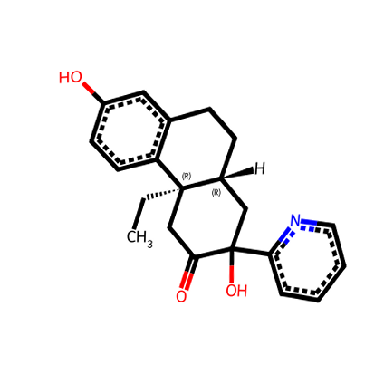 CC[C@@]12CC(=O)C(O)(c3ccccn3)C[C@H]1CCc1cc(O)ccc12